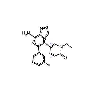 CCN(C)/C=C(\C=C/C=O)c1c(-c2cccc(F)c2)nc(N)c2nccn12